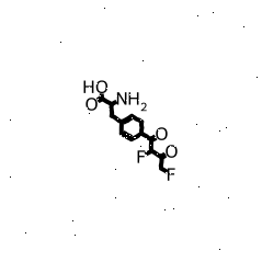 NC(CC1=CCC(C(=O)C(F)C(=O)CF)C=C1)C(=O)O